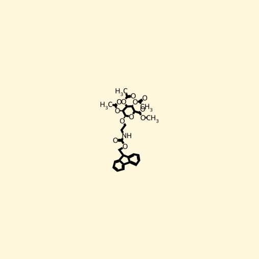 COC(=O)C1O[C@@H](OCCNC(=O)OCC2c3ccccc3-c3ccccc32)[C@@H](OC(C)=O)C(OC(C)=O)[C@@H]1OC(C)=O